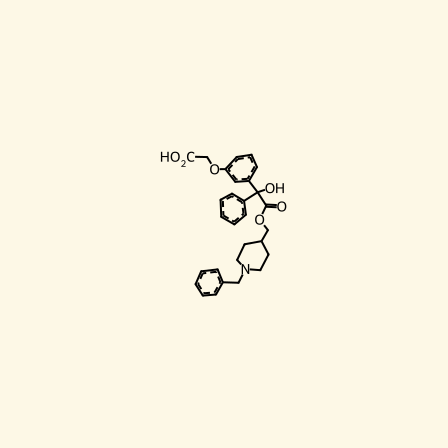 O=C(O)COc1cccc(C(O)(C(=O)OCC2CCN(Cc3ccccc3)CC2)c2ccccc2)c1